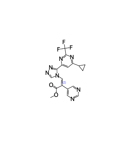 COC(=O)/C(=C\n1cnnc1-c1cc(C2CC2)nc(C(F)(F)F)n1)c1cncnc1